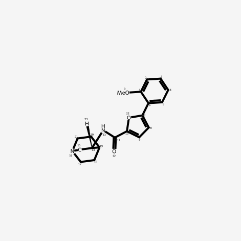 COc1ccccc1-c1ccc(C(=O)N[C@H]2CN3CCC2CC3)o1